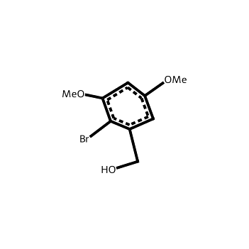 COc1cc(CO)c(Br)c(OC)c1